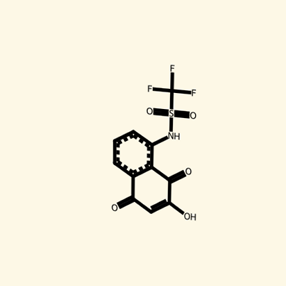 O=C1C=C(O)C(=O)c2c(NS(=O)(=O)C(F)(F)F)cccc21